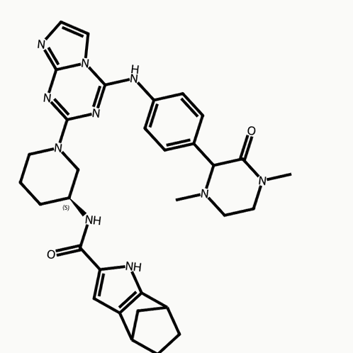 CN1CCN(C)C(c2ccc(Nc3nc(N4CCC[C@H](NC(=O)c5cc6c([nH]5)C5CCC6C5)C4)nc4nccn34)cc2)C1=O